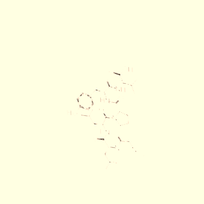 CC(C)C[C@H](NC(=O)[C@H](C)N)C(=O)N[C@@H](CC(C)C)C(=O)N1CCC[C@H]1C(=O)N[C@@H](Cc1ccc(O)cc1)C(=O)N[C@H](C(=O)O)C(C)C